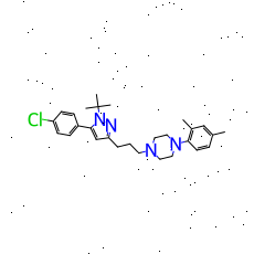 Cc1ccc(N2CCN(CCCc3cc(-c4ccc(Cl)cc4)n(C(C)(C)C)n3)CC2)c(C)c1